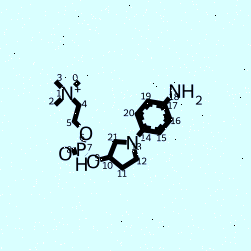 C[N+](C)(C)CCO[PH](=O)OC1CCN(c2ccc(N)cc2)C1